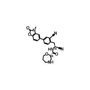 Cn1c(=O)oc2ccc(-c3ccc(C[C@@H](C#N)NC(=O)[C@@H]4CNCCCO4)c(C#N)c3)cc21